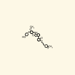 CCOc1cc(NC2CCc3c(-c4cccc(OCCCN5CCC(C)(F)CC5)c4Cl)cccc32)c(Cl)cc1CN1CCC(O)CC1